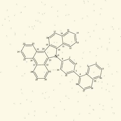 c1ccc2c(-c3ccc(-n4c5c6ccccc6ccc5c5c6ccccc6c6ccccc6c54)cc3)cccc2c1